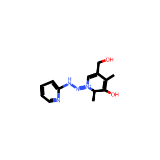 CC1=C(O)C(C)[N+](=NNc2ccccn2)C=C1CO